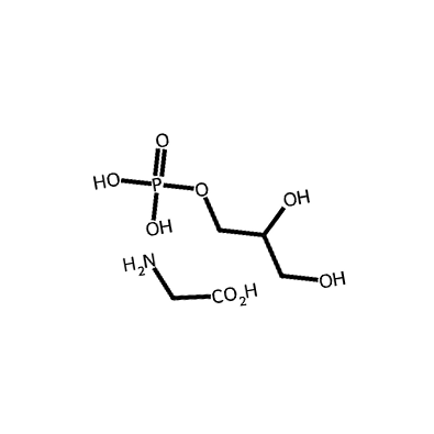 NCC(=O)O.O=P(O)(O)OCC(O)CO